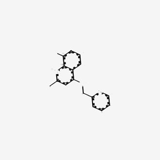 Cc1cc(OCc2ccccn2)c2cccc(O)c2n1